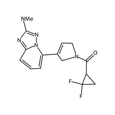 CNc1nc2cccc(C3=CCN(C(=O)C4CC4(F)F)C3)n2n1